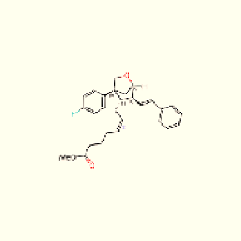 COC(=O)CCC/C=C\C[C@H]1[C@H](C=Cc2ccccc2)[C@@H]2C[C@@]1(c1ccc(F)cc1)CO2